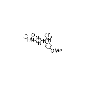 COc1ccc2c(c1)nc(C(F)(F)F)n2-c1cnc(NC(=O)C2CCCC2)cn1